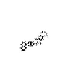 CCc1cc2c(cc1C)C(=O)/C(=C/c1cc3sc(-c4cccc5ccccc45)cc3o1)C2=O